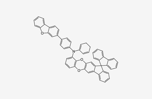 C1=CC(N(c2ccc(-c3ccc4c(c3)oc3ccccc34)cc2)c2cccc3c2Oc2cc4c(cc2O3)-c2ccccc2C42c3ccccc3-c3ccccc32)=CCC1